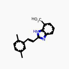 Cc1ccc(C)c(C=Cc2nc3cccc(C(=O)O)c3[nH]2)c1